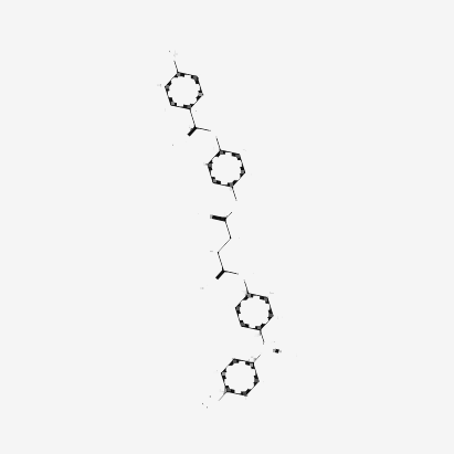 [C-]#[N+]c1ccc(C(=O)Oc2ccc(OC(=O)CCC(=O)Oc3cc[c]([Co](=[O])[c]4ccc(C#N)cc4)cc3)cc2)cc1